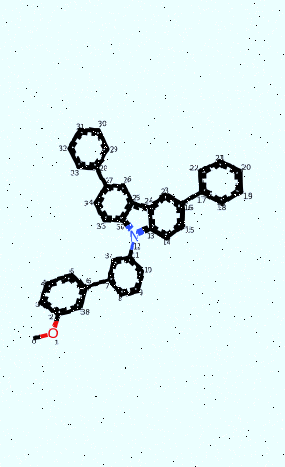 COc1cccc(-c2cccc(-n3c4ccc(-c5ccccc5)cc4c4cc(-c5ccccc5)ccc43)c2)c1